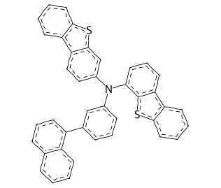 c1cc(-c2cccc3ccccc23)cc(N(c2ccc3c(c2)sc2ccccc23)c2cccc3c2sc2ccccc23)c1